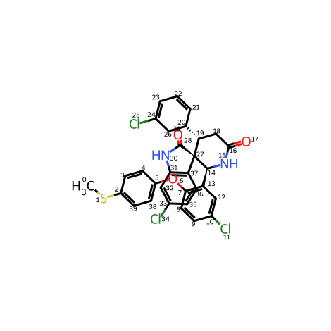 CSc1ccc(Oc2ccc(Cl)cc2[C@@H]2NC(=O)C[C@@H](C3C=CC=C(Cl)C3)[C@]23C(=O)Nc2cc(Cl)ccc23)cc1